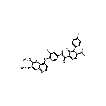 COc1cc2nccc(Oc3ccc(NC(=O)c4cnc(N(C)C)n(-c5ccc(F)cc5)c4=O)cc3F)c2nc1OC